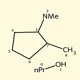 CCCO.CNC1CCCC1C